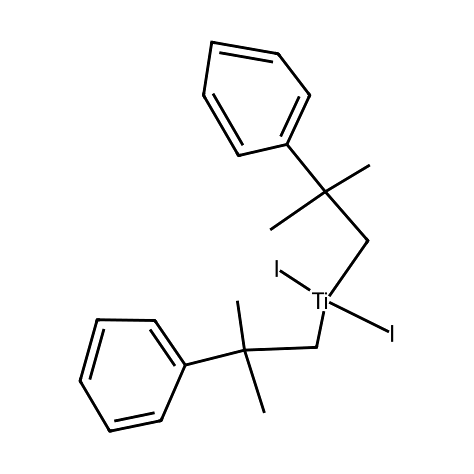 CC(C)([CH2][Ti]([I])([I])[CH2]C(C)(C)c1ccccc1)c1ccccc1